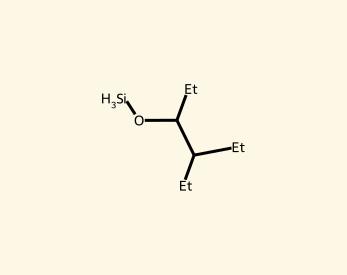 CCC(CC)C(CC)O[SiH3]